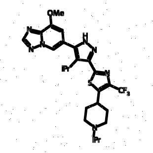 COc1cc(-c2[nH]nc(-c3nc(C(F)(F)F)c(C4CCN(C(C)C)CC4)s3)c2C(C)C)cn2ncnc12